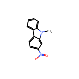 Cn1c2ccccc2c2ccc([N+](=O)[O-])cc21